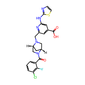 O=C(O)c1cc(CN2C[C@H]3C[C@@H]2CN3C(=O)c2cccc(Cl)c2F)nc(Nc2nccs2)c1